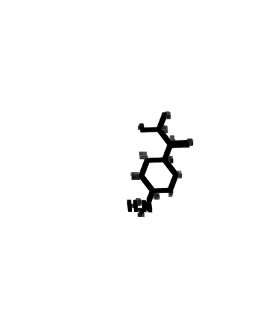 C=C(C(C)C)C1CCC(N)CC1